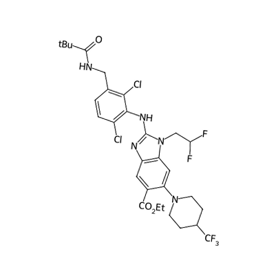 CCOC(=O)c1cc2nc(Nc3c(Cl)ccc(CNC(=O)C(C)(C)C)c3Cl)n(CC(F)F)c2cc1N1CCC(C(F)(F)F)CC1